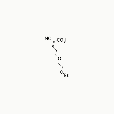 CCOCCOCCC=C(C#N)C(=O)O